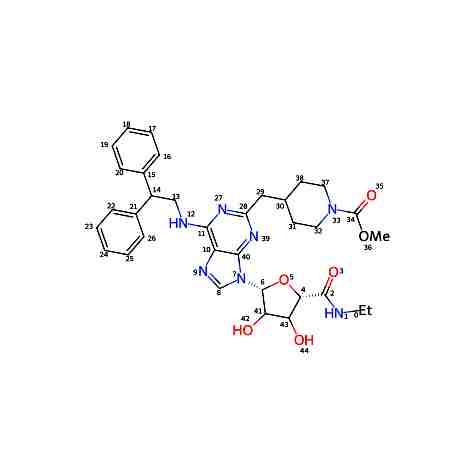 CCNC(=O)[C@H]1O[C@@H](n2cnc3c(NCC(c4ccccc4)c4ccccc4)nc(CC4CCN(C(=O)OC)CC4)nc32)C(O)C1O